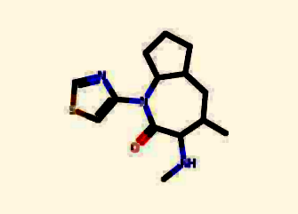 CNC1C(=O)N(c2cscn2)C2CCCC2CC1C